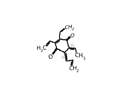 C=C/C=C1/C(=O)C(C=C)=C(C=C)C(=O)/C1=C/C